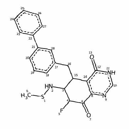 CSNC1C(F)C(=O)c2nc[nH]c(=O)c2C1Cc1cccc(-c2ccccc2)c1